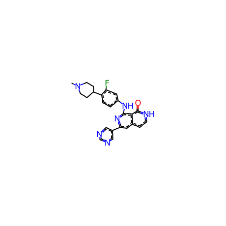 CN1CCC(c2ccc(Nc3nc(-c4cncnc4)cc4cc[nH]c(=O)c34)cc2F)CC1